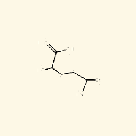 C=C(O)C(C)CCC(N)CC